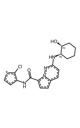 O=C(Nc1ccsc1Cl)c1ccc2ccc(N[C@@H]3CCCC[C@@H]3O)nn12